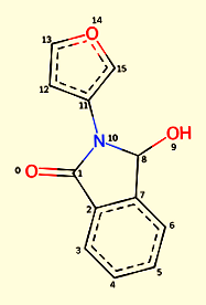 O=C1c2ccccc2C(O)N1c1ccoc1